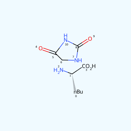 CCCC[C@H](N)C(=O)O.O=C1CNC(=O)N1